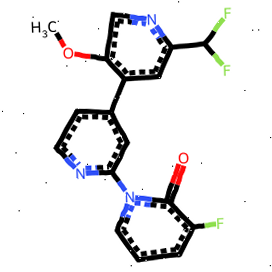 COc1cnc(C(F)F)cc1-c1ccnc(-n2cccc(F)c2=O)c1